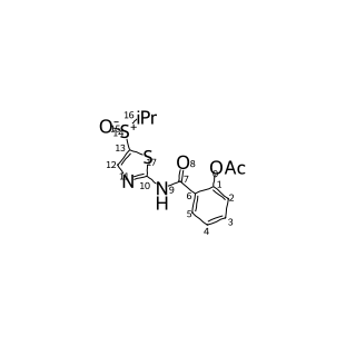 CC(=O)Oc1ccccc1C(=O)Nc1ncc([S+]([O-])C(C)C)s1